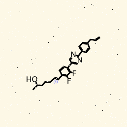 C=CCc1ccc(-c2ncc(-c3ccc(/C=C/CCCC(C)O)c(F)c3F)cn2)cc1